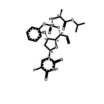 C=C[C@@H](O[P@](=O)(N[C@@H](C)C(=O)OC(C)C)Oc1ccccc1)[C@H]1O[C@@H](n2cc(F)c(=O)[nH]c2=O)C[C@@H]1O